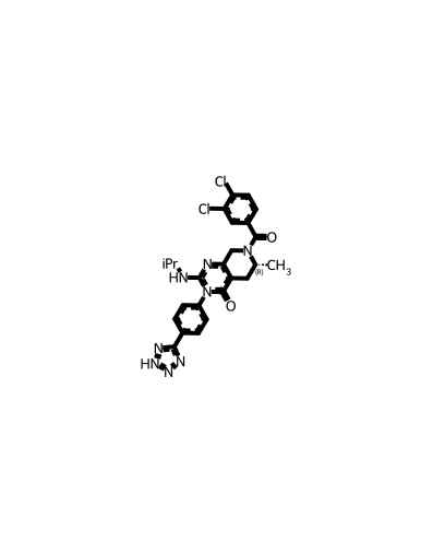 CC(C)Nc1nc2c(c(=O)n1-c1ccc(-c3nn[nH]n3)cc1)C[C@@H](C)N(C(=O)c1ccc(Cl)c(Cl)c1)C2